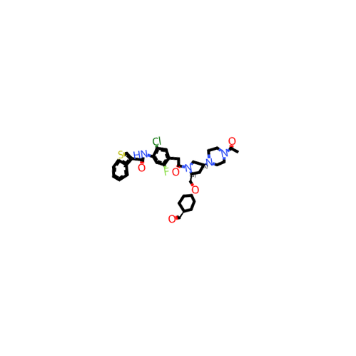 CC(=O)N1CCN([C@H]2C[C@@H](CO[C@H]3CC[C@H](C=O)CC3)N(C(=O)Cc3cc(Cl)c(NC(=O)c4csc5ccccc45)cc3F)C2)CC1